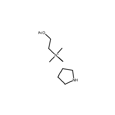 C1CCNC1.CC(=O)OCC[N+](C)(C)C